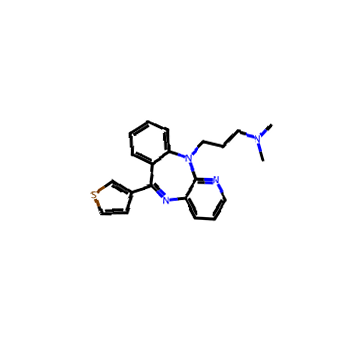 CN(C)CCCN1c2ccccc2C(c2ccsc2)=Nc2cccnc21